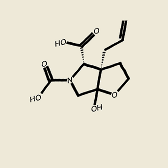 C=CC[C@]12CCOC1(O)CN(C(=O)O)[C@@H]2C(=O)O